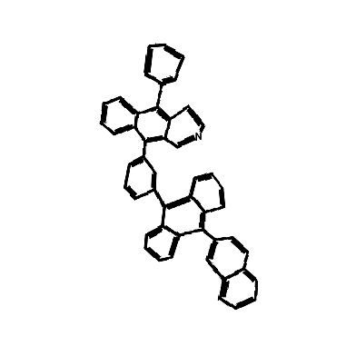 c1ccc(-c2c3ccccc3c(-c3cccc(-c4c5ccccc5c(-c5ccc6ccccc6c5)c5ccccc45)c3)c3cnccc23)cc1